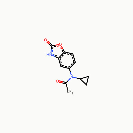 O=C(N(c1ccc2oc(=O)[nH]c2c1)C1CC1)C(F)(F)F